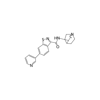 O=C(NC1CN2CCC1CC2)c1nsc2cc(-c3cccnc3)ccc12